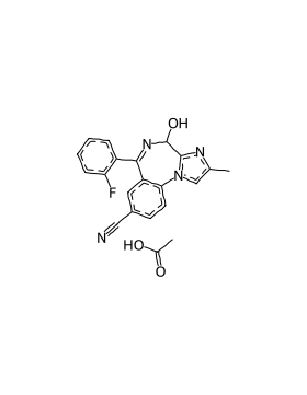 CC(=O)O.Cc1cn2c(n1)C(O)N=C(c1ccccc1F)c1cc(C#N)ccc1-2